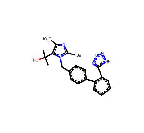 CCCCc1nc(C(=O)O)c(C(C)(C)O)n1Cc1ccc(-c2ccccc2-c2nnn[nH]2)cc1